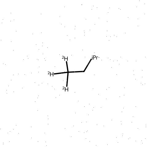 [2H]C([2H])([2H])C[C](C)C